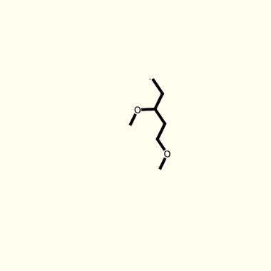 [CH2]CC(CCOC)OC